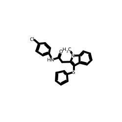 Cn1c(CC(=O)Nc2ccc(Cl)cc2)c(Sc2ccccc2)c2ccccc21